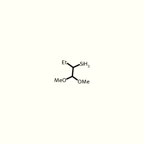 [CH2]CC([SiH3])C(OC)OC